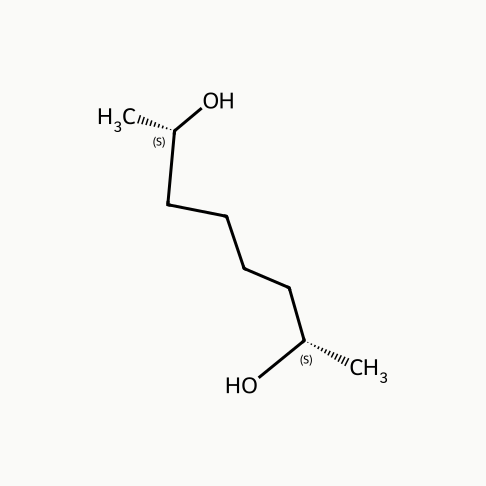 C[C@H](O)CCCC[C@H](C)O